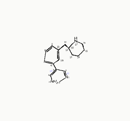 C/N=C\C(=C/N)c1cccc(C[C@@H]2CCCCN2)c1